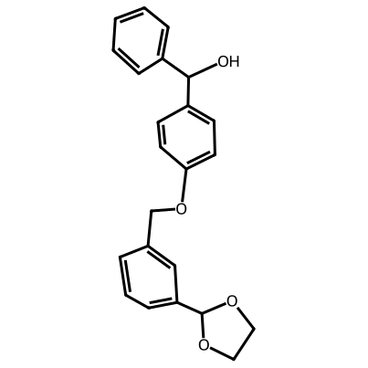 OC(c1ccccc1)c1ccc(OCc2cccc(C3OCCO3)c2)cc1